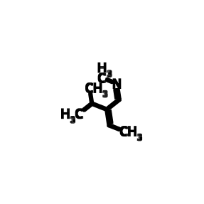 C/C=C(\C=N/C)C(C)C